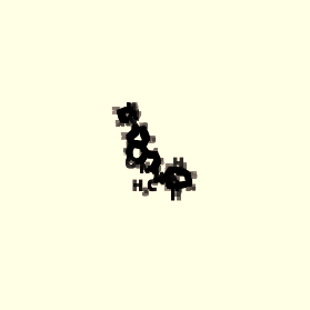 CN(c1ccc2c(n1)OCc1cc(-n3ccnn3)ccc1-2)[C@@H]1C[C@H]2CC[C@@H](C1)N2